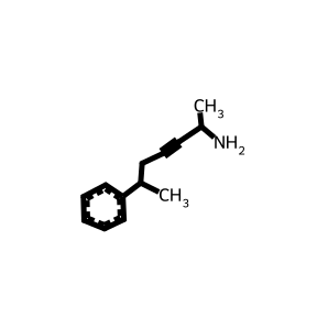 CC(N)C#CCC(C)c1ccccc1